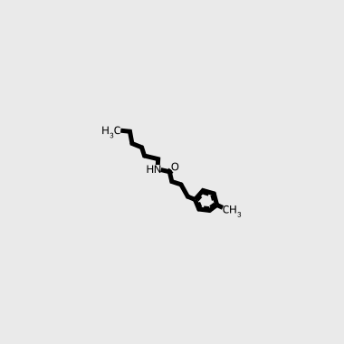 CCCCCCNC(=O)CCCc1ccc(C)cc1